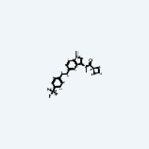 O=C(Nc1c[nH]c2ccc(CCc3ccc(C(F)(F)F)cc3)cc12)C1CCC1